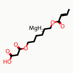 CC=CC(=O)OCCCCCCOC(=O)CC(=O)O.[MgH2]